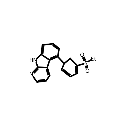 CCS(=O)(=O)C1=CC=CC(c2cccc3[nH]c4ncccc4c23)C1